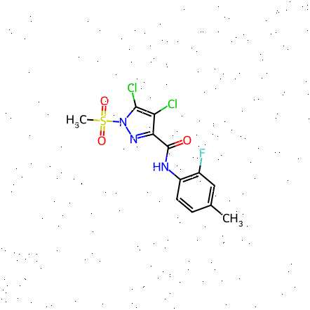 Cc1ccc(NC(=O)c2nn(S(C)(=O)=O)c(Cl)c2Cl)c(F)c1